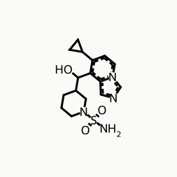 NS(=O)(=O)N1CCCC(C(O)c2c(C3CC3)ccn3cncc23)C1